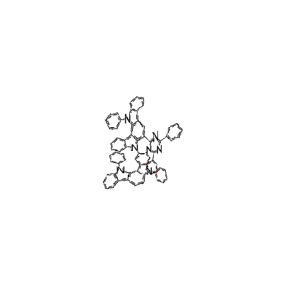 c1ccc(-c2nc(-c3ccccc3)nc(-c3cc4c5ccccc5n(-c5ccccc5)c4c4c5ccccc5n(-c5ccc6c(c5)c5c(ccc7c8ccccc8n(-c8ccccc8)c75)n6-c5ccccc5)c34)n2)cc1